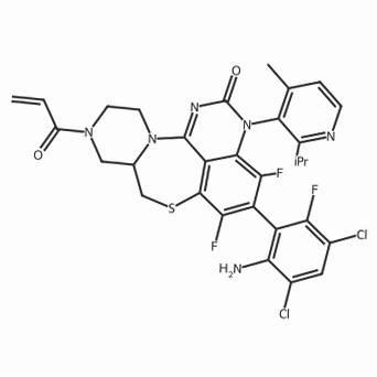 C=CC(=O)N1CCN2c3nc(=O)n(-c4c(C)ccnc4C(C)C)c4c(F)c(-c5c(N)c(Cl)cc(Cl)c5F)c(F)c(c34)SCC2C1